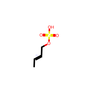 C/C=C/COS(=O)(=O)O